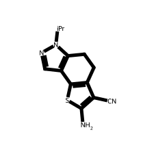 CC(C)n1ncc2c1CCc1c-2sc(N)c1C#N